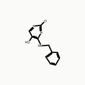 Oc1cnc(Cl)nc1NCc1ccccc1